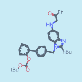 CCCCc1nc2cc(NCC(=O)CC)ccc2n1Cc1ccc(-c2ccccc2OC(=O)OC(C)(C)C)cc1